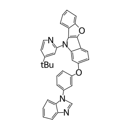 CC(C)(C)c1ccnc(-n2c3cc(Oc4cccc(-n5cnc6ccccc65)c4)ccc3c3oc4ccccc4c32)c1